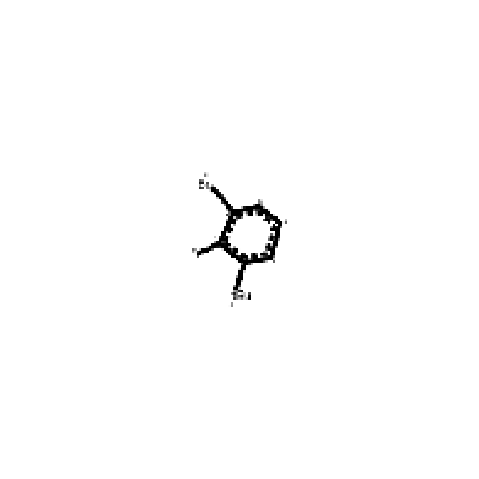 Cc1c(Br)cccc1C(C)(C)C